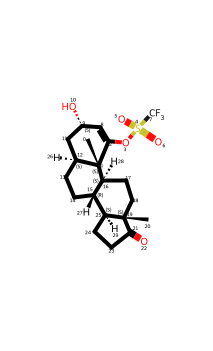 C[C@]12C(OS(=O)(=O)C(F)(F)F)=C[C@@H](O)C[C@@H]1CC[C@@H]1[C@@H]2CC[C@]2(C)C(=O)CC[C@@H]12